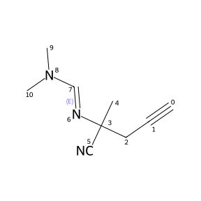 C#CCC(C)(C#N)/N=C/N(C)C